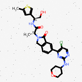 Cc1cc([C@@H](CO)NC(=O)[C@@H](C)N2Cc3ccc(-c4nc(NC5CCOCC5)ncc4Cl)cc3C2=O)cs1